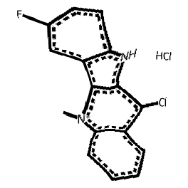 C[n+]1c2ccccc2c(Cl)c2[nH]c3ccc(F)cc3c21.Cl